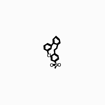 CS(=O)(=O)c1ccc(CCc2ccccc2-c2cccc(Cl)c2)cc1